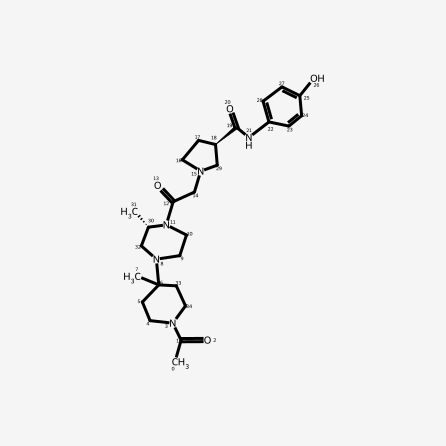 CC(=O)N1CCC(C)(N2CCN(C(=O)CN3CC[C@@H](C(=O)Nc4ccc(O)cc4)C3)[C@@H](C)C2)CC1